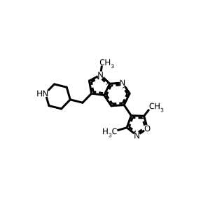 Cc1noc(C)c1-c1cnc2c(c1)c(CC1CCNCC1)cn2C